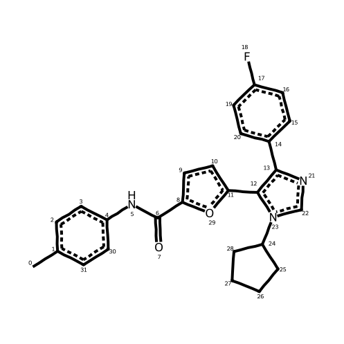 Cc1ccc(NC(=O)c2ccc(-c3c(-c4ccc(F)cc4)ncn3C3CCCC3)o2)cc1